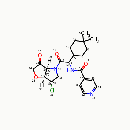 CC1(C)CCC([C@H](NC(=O)c2ccncc2)C(=O)N2C[C@H](Cl)[C@H]3OCC(=O)[C@H]32)CC1